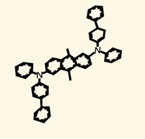 Cc1c2ccc(N(c3ccccc3)c3ccc(-c4ccccc4)cc3)cc2c(C)c2ccc(N(C3=CCC(c4ccccc4)C=C3)c3ccccc3)cc12